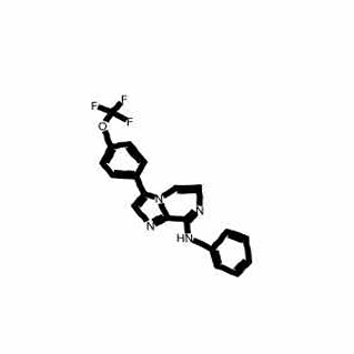 FC(F)(F)Oc1ccc(-c2cnc3c(Nc4ccccc4)nccn23)cc1